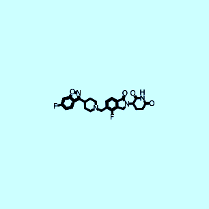 O=C1CCC(N2Cc3c(ccc(CN4CCC(c5noc6cc(F)ccc56)CC4)c3F)C2=O)C(=O)N1